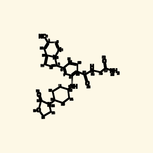 N#Cc1cnn2c(-c3cc(NC4CCC(N5CCOC5=O)CC4)c(C(=O)NCC(N)=O)cn3)ccc2c1